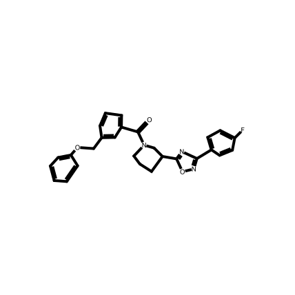 O=C(c1cccc(COc2ccccc2)c1)N1CCCC(c2nc(-c3ccc(F)cc3)no2)C1